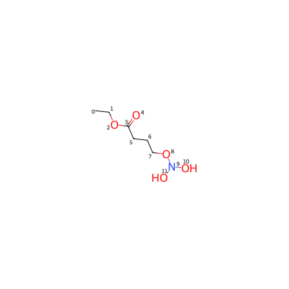 CCOC(=O)CCCON(O)O